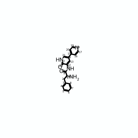 N[C@@H](Cc1ccccc1)C(=O)Nc1cc(-c2ccncc2)c[nH]c1=O